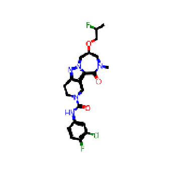 CC(F)COC1CN(C)C(=O)c2c3c(nn2C1)CCN(C(=O)Nc1ccc(F)c(Cl)c1)C3